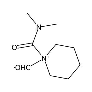 CN(C)C(=O)[N+]1([C]=O)CCCCC1